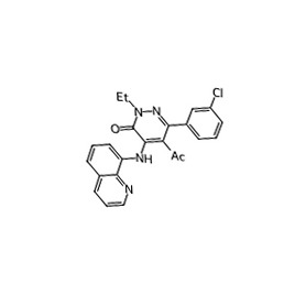 CCn1nc(-c2cccc(Cl)c2)c(C(C)=O)c(Nc2cccc3cccnc23)c1=O